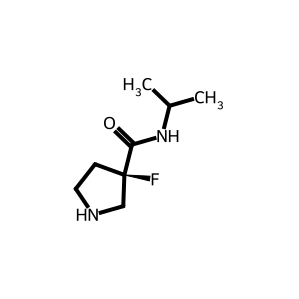 CC(C)NC(=O)[C@@]1(F)CCNC1